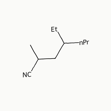 CCCC(CC)CC(C)C#N